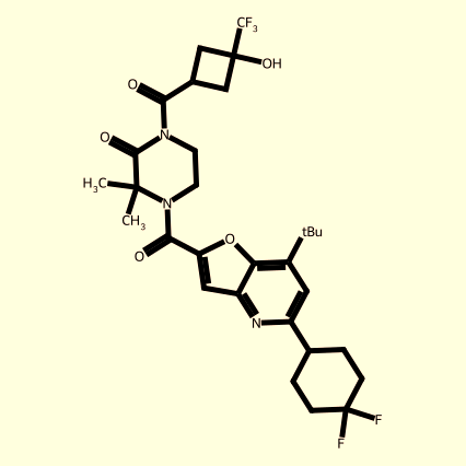 CC(C)(C)c1cc(C2CCC(F)(F)CC2)nc2cc(C(=O)N3CCN(C(=O)C4CC(O)(C(F)(F)F)C4)C(=O)C3(C)C)oc12